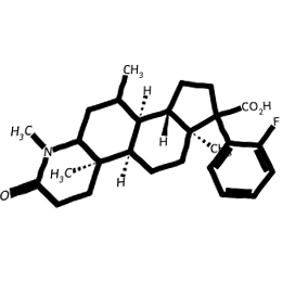 CC1CC2N(C)C(=O)CC[C@]2(C)[C@@H]2CC[C@@]3(C)[C@@H](CCC3(C(=O)O)c3ccccc3F)[C@H]12